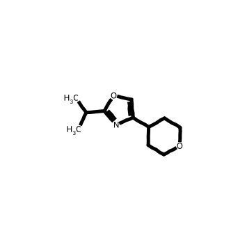 CC(C)c1nc(C2CCOCC2)co1